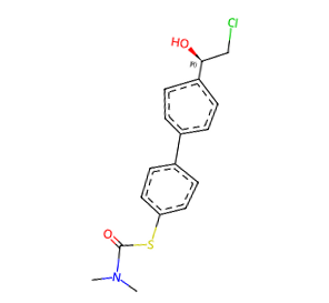 CN(C)C(=O)Sc1ccc(-c2ccc([C@@H](O)CCl)cc2)cc1